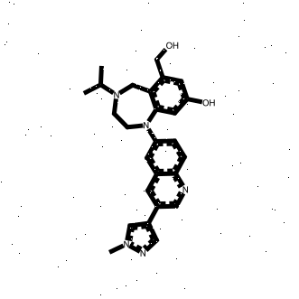 CC(C)N1CCN(c2ccc3ncc(-c4cnn(C)c4)cc3c2)c2cc(O)cc(CO)c2C1